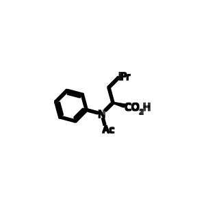 CC(=O)N(c1ccccc1)[C@@H](CC(C)C)C(=O)O